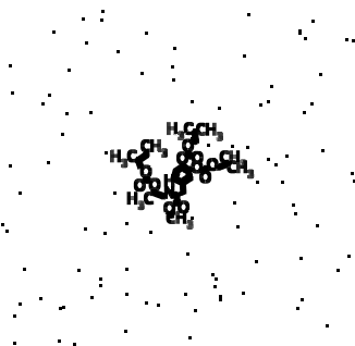 CCC(C)COC(=O)OC(C)CN[C@@H](Cc1ccc(OC(=O)OCC(C)C)c(OC(=O)OCC(C)C)c1)C(=O)OC